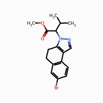 COC(=O)C(C(C)C)n1ncc2c1CCc1cc(Br)ccc1-2